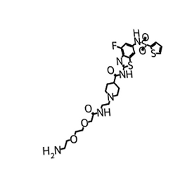 NCCOCCOCC(=O)NCCN1CCC(C(=O)Nc2nc3c(F)cc(NS(=O)(=O)c4cccs4)cc3s2)CC1